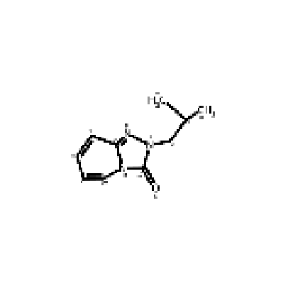 CC(C)Cn1nc2ccccn2c1=O